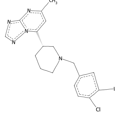 Cc1cc([C@H]2CCCN(Cc3ccc(Cl)c(I)c3)C2)n2ncnc2n1